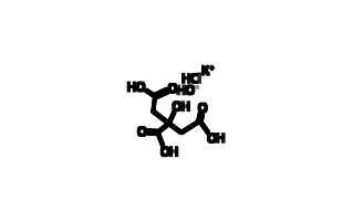 Cl.O=C(O)CC(O)(CC(=O)O)C(=O)O.[K+].[OH-]